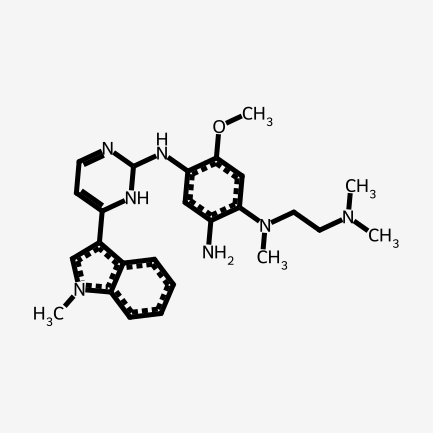 COc1cc(N(C)CCN(C)C)c(N)cc1NC1N=CC=C(c2cn(C)c3ccccc23)N1